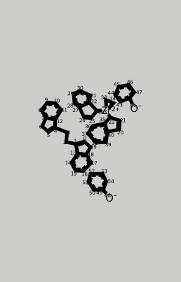 C1=C(CCC2=CCc3ccccc32)c2ccccc2C1.C1=C[CH]([Zr+2]2([CH]3C=Cc4ccccc43)[CH2][CH2]2)c2ccccc21.[O-]c1ccccc1.[O-]c1ccccc1